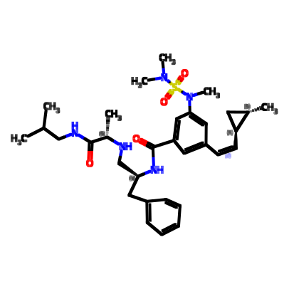 CC(C)CNC(=O)[C@H](C)NC[C@H](Cc1ccccc1)NC(=O)c1cc(/C=C\[C@H]2C[C@@H]2C)cc(N(C)S(=O)(=O)N(C)C)c1